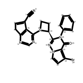 N#CC1=CCc2ncnc(N3CC[C@H]3c3nn4ccc(Br)c4c(=O)n3-c3ccccc3)c21